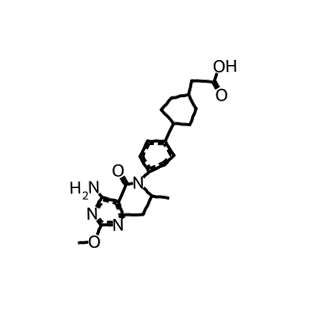 COc1nc(N)c2c(n1)CC(C)N(c1ccc(C3CCC(CC(=O)O)CC3)cc1)C2=O